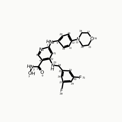 O=C(NO)c1cnc(Nc2ccc(N3CCOCC3)cc2)cc1NCc1cc(F)cc(F)c1